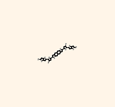 Fc1cc2sc(-c3sc(-c4cc5cc6cc7sc(-c8cc(F)c(-c9cc%10sc(F)cc%10s9)s8)cc7cc6cc5s4)cc3F)cc2s1